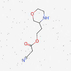 N#CCC(=O)OCCC1COCCN1